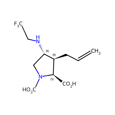 C=CC[C@@H]1[C@@H](NCC(F)(F)F)CN(C(=O)O)[C@@H]1C(=O)O